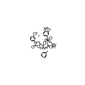 CC(C)CN(C[C@@H](O)[C@H](Cc1ccccc1)NC(=O)[C@@H]1CN(c2cccc(C(F)(F)F)c2)C(=O)O1)S(=O)(=O)c1ccc2ncoc2c1